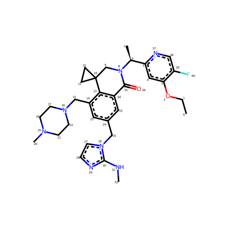 CCOc1cc([C@H](C)N2CC3(CC3)c3c(CN4CCN(C)CC4)cc(Cn4ccnc4NC)cc3C2=O)ncc1F